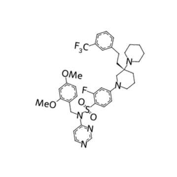 COc1ccc(CN(c2ccncn2)S(=O)(=O)c2ccc(N3CCC[C@@](CCc4cccc(C(F)(F)F)c4)(N4CCCCC4)C3)cc2F)c(OC)c1